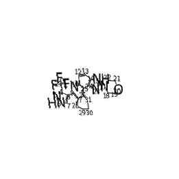 FC(F)(F)c1n[nH]cc1-c1nc2ccc3[nH]c(N4CCOCC4)nc3c2c2c1CCCC2